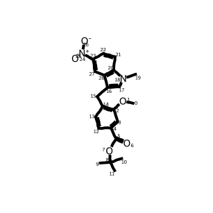 COc1cc(C(=O)OC(C)(C)C)ccc1Cc1cn(C)c2ccc([N+](=O)[O-])cc12